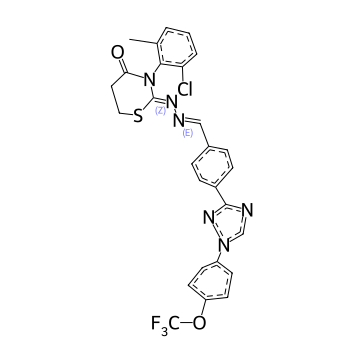 Cc1cccc(Cl)c1N1C(=O)CCS/C1=N\N=C\c1ccc(-c2ncn(-c3ccc(OC(F)(F)F)cc3)n2)cc1